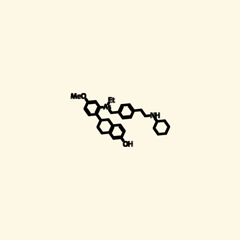 CC[As](Cc1ccc(CCNC2CCCCC2)cc1)c1cc(OC)ccc1C1CCc2cc(O)ccc2C1